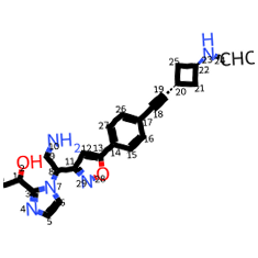 CC(O)c1nccn1C(CN)c1cc(-c2ccc(C#C[C@H]3C[C@H](NC=O)C3)cc2)on1